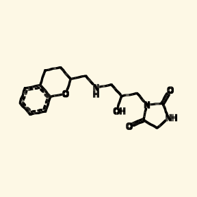 O=C1CNC(=O)N1CC(O)CNCC1CCc2ccccc2O1